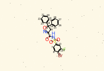 O=C(NS(=O)(=O)c1ccc(Br)c(F)c1)C1=NOC(c2ccccc2)(c2ccccc2)C1